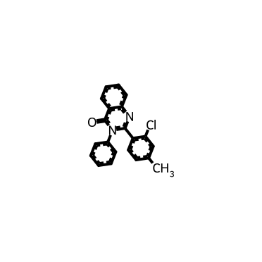 Cc1ccc(-c2nc3ccccc3c(=O)n2-c2ccccc2)c(Cl)c1